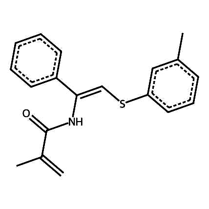 C=C(C)C(=O)N/C(=C\Sc1cccc(C)c1)c1ccccc1